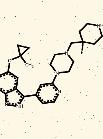 CC1(Oc2ccc3n[nH]c(-c4ccnc(N5CCN(CC6(F)CCNCC6)CC5)c4)c3c2)CC1